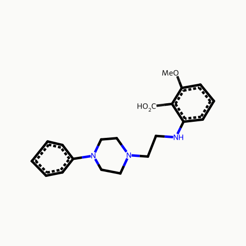 COc1cccc(NCCN2CCN(c3ccccc3)CC2)c1C(=O)O